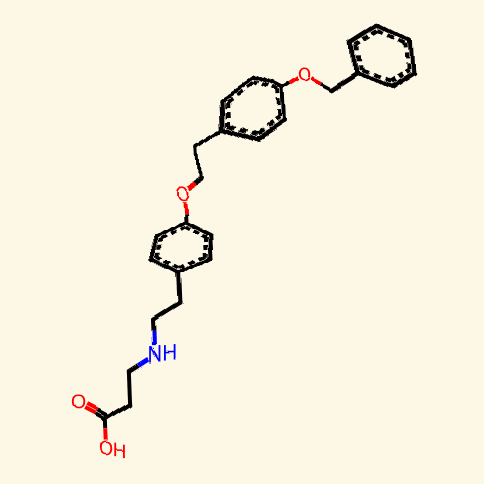 O=C(O)CCNCCc1ccc(OCCc2ccc(OCc3ccccc3)cc2)cc1